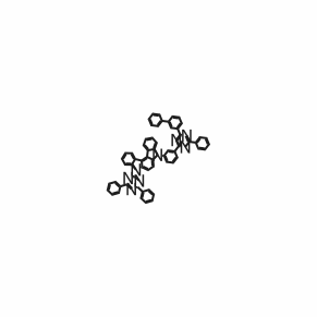 c1ccc(-c2cccc(-c3nc(-c4ccccc4)nc(-c4cccc(-n5c6ccccc6c6c7c8ccccc8n(-c8nc(-c9ccccc9)nc(-c9ccccc9)n8)c7ccc65)c4)n3)c2)cc1